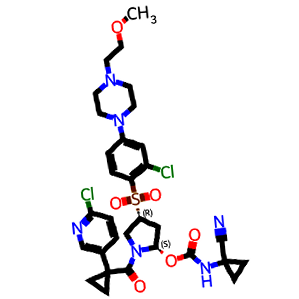 COCCN1CCN(c2ccc(S(=O)(=O)[C@@H]3C[C@H](OC(=O)NC4(C#N)CC4)N(C(=O)C4(c5ccc(Cl)nc5)CC4)C3)c(Cl)c2)CC1